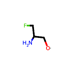 NC(C[O])CF